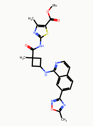 Cc1nc(-c2ccc3ccnc(NC4CC(C)(C(=O)Nc5nc(C)c(C(=O)OC(C)(C)C)s5)C4)c3c2)no1